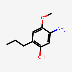 CCCc1cc(OC)c(N)cc1O